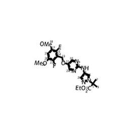 CCOC(=O)C(C)(C)n1cc(Nc2ncc(OCc3c(F)c(OC)cc(OC)c3F)cn2)cn1